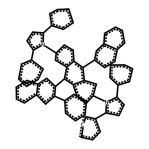 c1ccc(-c2cc3ccccc3cc2-c2c3ccc(-n4c(-c5ccccc5)ccc4-c4ccccc4)cc3c(-c3ccc4ccccc4c3)c3ccc(-n4c(-c5ccccc5)ccc4-c4ccccc4)cc23)cc1